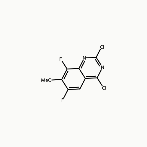 COc1c(F)cc2c(Cl)nc(Cl)nc2c1F